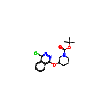 CC(C)(C)OC(=O)N1CCCC(Oc2nnc(Cl)c3ccccc23)C1